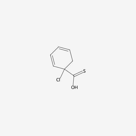 OC(=S)C1(Cl)C=CC=CC1